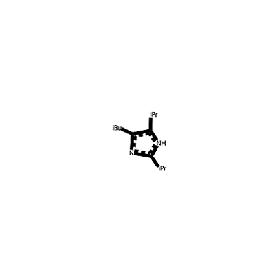 CCC(C)c1nc(C(C)C)[nH]c1C(C)C